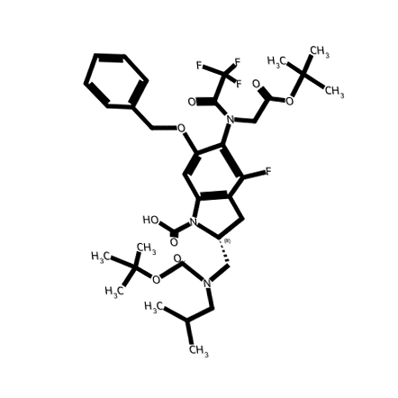 CC(C)CN(C[C@H]1Cc2c(cc(OCc3ccccc3)c(N(CC(=O)OC(C)(C)C)C(=O)C(F)(F)F)c2F)N1C(=O)O)C(=O)OC(C)(C)C